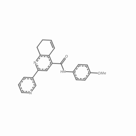 COc1ccc(NC(=O)c2cc(-c3cccnc3)nc3c2C=CCC3)cc1